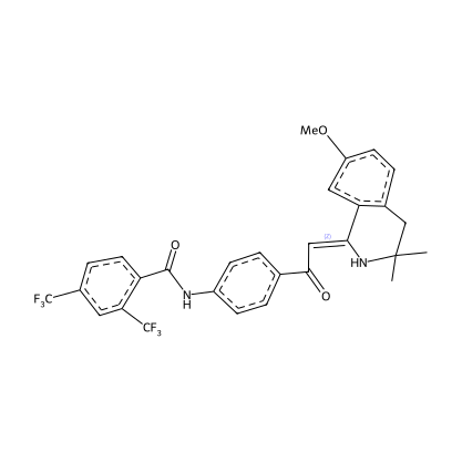 COc1ccc2c(c1)/C(=C/C(=O)c1ccc(NC(=O)c3ccc(C(F)(F)F)cc3C(F)(F)F)cc1)NC(C)(C)C2